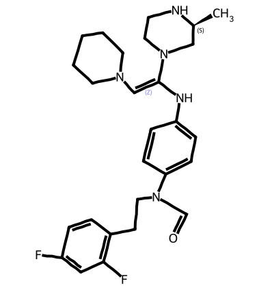 C[C@H]1CN(/C(=C\N2CCCCC2)Nc2ccc(N(C=O)CCc3ccc(F)cc3F)cc2)CCN1